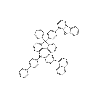 c1ccc(-c2ccc(N(c3ccc(-c4cccc5ccccc45)cc3)c3cccc4c3-c3ccccc3C4(c3ccccc3)c3ccc(-c4cccc5c4oc4ccccc45)cc3)cc2)cc1